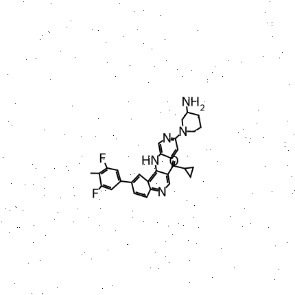 Cc1c(F)cc(-c2ccc3ncc(C(=O)C4CC4)c(Nc4ccc(N5CCCC(N)C5)nc4)c3c2)cc1F